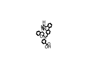 O=C(O)c1cccc(N(Cc2ccc(-c3ccccc3-c3nnn[nH]3)cc2)C(=O)CCc2ccccc2)c1